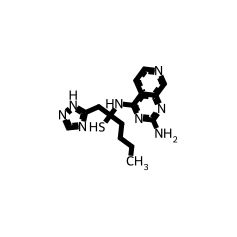 CCCCC(S)(Cc1ncn[nH]1)Nc1nc(N)nc2cnccc12